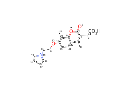 Cc1c(CC(=O)O)c(=O)oc2c(C)c(OCCn3cccc3)ccc12